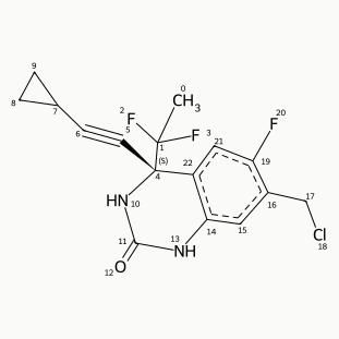 CC(F)(F)[C@@]1(C#CC2CC2)NC(=O)Nc2cc(CCl)c(F)cc21